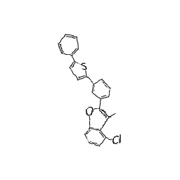 Cc1c(-c2cccc(-c3ccc(-c4ccccc4)s3)c2)oc2cccc(Cl)c12